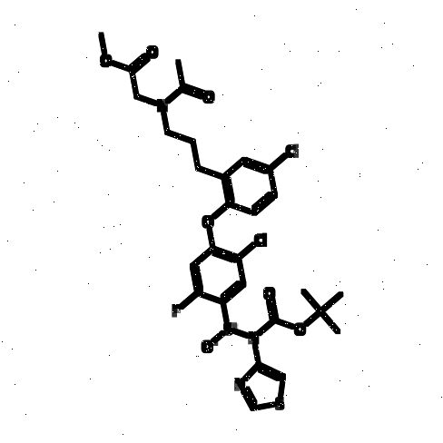 COC(=O)CN(CCCc1cc(Cl)ccc1Oc1cc(F)c([S+]([O-])N(C(=O)OC(C)(C)C)c2cscn2)cc1Cl)C(C)=O